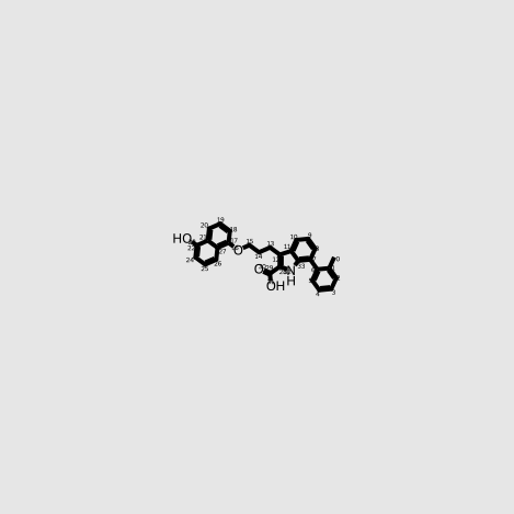 Cc1ccccc1-c1cccc2c(CCCOc3cccc4c(O)cccc34)c(C(=O)O)[nH]c12